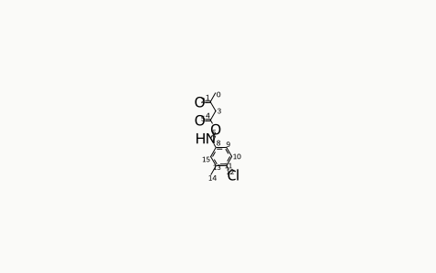 CC(=O)CC(=O)ONc1ccc(Cl)c(C)c1